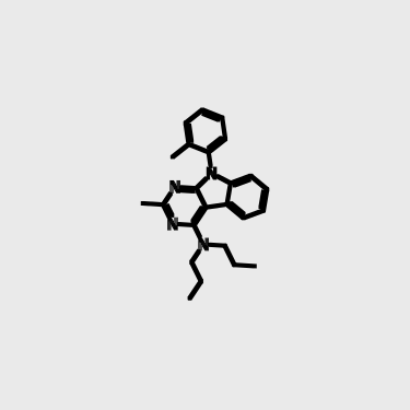 CCCN(CCC)c1nc(C)nc2c1c1ccccc1n2-c1ccccc1C